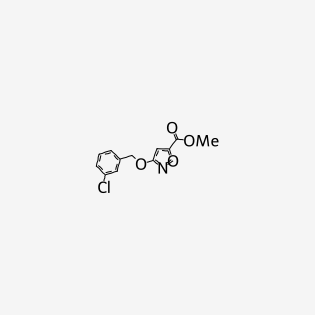 COC(=O)c1cc(OCc2cccc(Cl)c2)no1